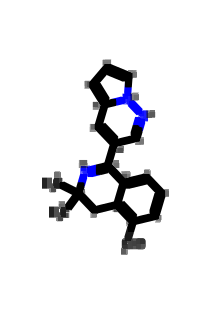 CC1(C)Cc2c(C=O)cccc2C(c2cnn3cccc3c2)=N1